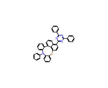 c1ccc(-c2nc(-c3ccccc3)nc(-c3ccc4c5c(cccc35)-c3ccccc3N(c3ccccc3)c3ccccc3S4)n2)cc1